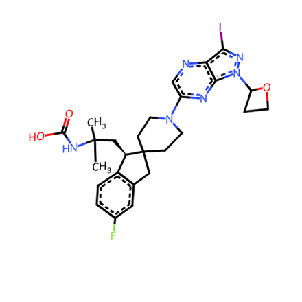 CC(C)(C[C@@H]1c2ccc(F)cc2CC12CCN(c1cnc3c(I)nn(C4CCO4)c3n1)CC2)NC(=O)O